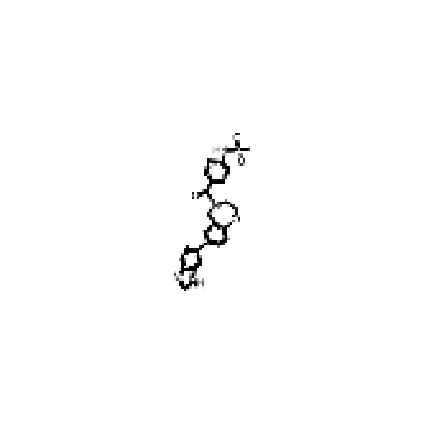 CS(=O)(=O)Nc1ccc(C(=O)N2CCOc3ccc(-c4ccc5nc[nH]c5c4)cc3C2)cc1